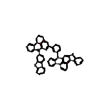 c1ccc(-c2ccccc2N(c2cccc(-c3cccc(N(c4ccc5c(c4)sc4ccccc45)c4ccccc4-c4ccccc4)c3)c2)c2ccc3c(c2)sc2ccccc23)cc1